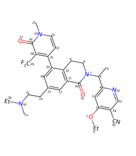 CCOc1cc(C(C)N2CCc3c(cc(CCN(C)CC)cc3-c3ccn(C)c(=O)c3C(F)(F)F)C2=O)ncc1C#N